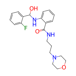 O=C(NCCCN1CCOCC1)c1ccccc1NC(O)c1ccccc1F